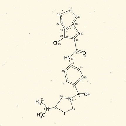 CN(C)C1CCN(C(=O)c2ccc(NC(=O)c3sc4ccccc4c3Cl)cc2)C1